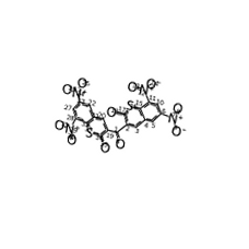 O=C(c1cc2cc([N+](=O)[O-])cc([N+](=O)[O-])c2sc1=O)c1cc2cc([N+](=O)[O-])cc([N+](=O)[O-])c2sc1=O